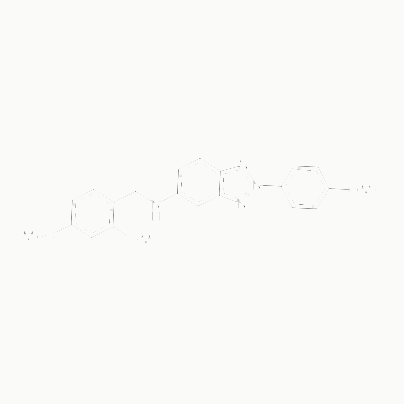 COc1ccc(-n2nc3ccc(NCc4ccc(OC)cc4OC)cc3n2)cc1